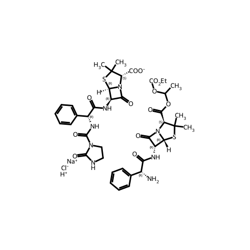 CC1(C)S[C@@H]2[C@H](NC(=O)[C@H](NC(=O)N3CCNC3=O)c3ccccc3)C(=O)N2[C@H]1C(=O)[O-].CCOC(=O)OC(C)OC(=O)[C@@H]1N2C(=O)[C@@H](NC(=O)[C@H](N)c3ccccc3)[C@H]2SC1(C)C.[Cl-].[H+].[Na+]